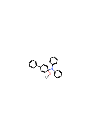 COC1(N(c2ccccc2)c2ccccc2)C=CC(c2ccccc2)C=C1